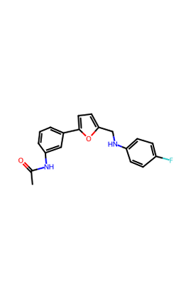 CC(=O)Nc1cccc(-c2ccc(CNc3ccc(F)cc3)o2)c1